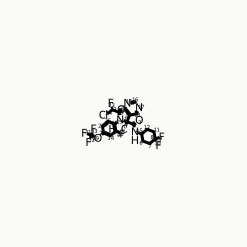 CC(C(=O)NC1CCC(F)(F)CC1)(c1cncnc1)N(C(=O)[C@H](F)Cl)c1ccc(OC(F)(F)F)cc1F